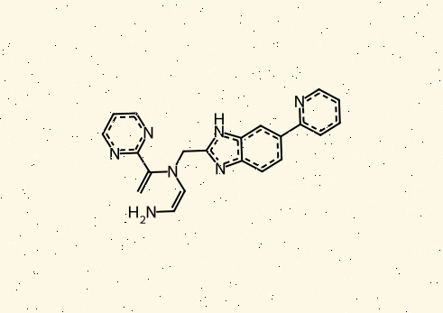 C=C(c1ncccn1)N(/C=C\N)Cc1nc2ccc(-c3ccccn3)cc2[nH]1